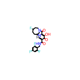 O=C(NCc1c(F)cc(F)cc1F)c1cn2c(c(O)c1=O)C(=O)N1CC[C@H](F)CC[C@H]2C1